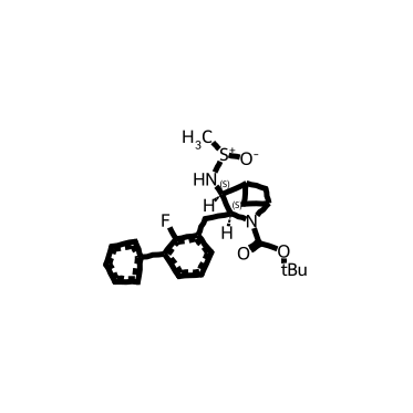 C[S+]([O-])N[C@H]1C2CC(C2)N(C(=O)OC(C)(C)C)[C@H]1Cc1cccc(-c2ccccc2)c1F